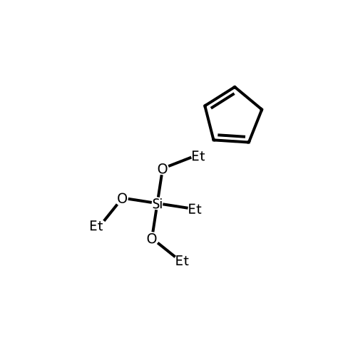 C1=CCC=C1.CCO[Si](CC)(OCC)OCC